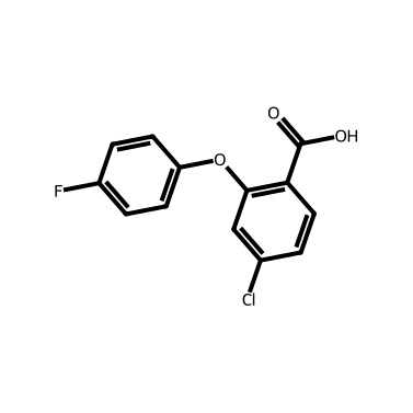 O=C(O)c1ccc(Cl)cc1Oc1ccc(F)cc1